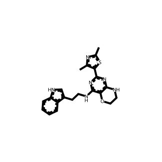 Cc1nc(C)c(-c2nc3c(c(NCCc4c[nH]c5ccccc45)n2)OCCN3)s1